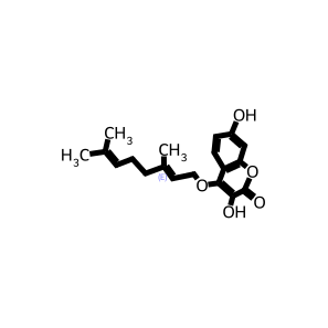 CC(C)=CCC/C(C)=C/COc1c(O)c(=O)oc2cc(O)ccc12